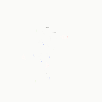 C#Cc1c(F)ccc2cc(O)cc(-c3ncc4c(N5CCOCC(F)C5)nc(OC[C@@]56CCCN5C[C@H](F)C6)nc4c3F)c12